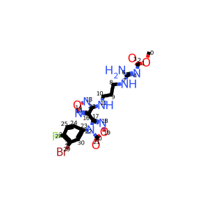 COC(=O)/N=C(\N)NCCCNc1nonc1-c1noc(=O)n1-c1ccc(F)c(Br)c1